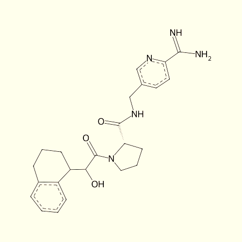 N=C(N)c1ccc(CNC(=O)[C@@H]2CCCN2C(=O)C(O)C2CCCc3ccccc32)cn1